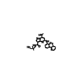 CNc1cc(Nc2cccn(-c3ncccc3F)c2=O)nc2c(C(=O)NCC(C)(C)CO)cnn12